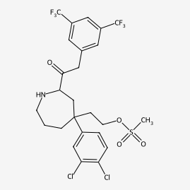 CS(=O)(=O)OCCC1(c2ccc(Cl)c(Cl)c2)CCCNC(C(=O)Cc2cc(C(F)(F)F)cc(C(F)(F)F)c2)C1